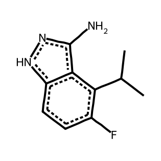 CC(C)c1c(F)ccc2[nH]nc(N)c12